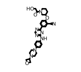 N#Cc1cc(-c2ncnc(Nc3ccc(N4CCN(C5COC5)CC4)cc3)n2)ccc1OC1CCCN(C(=O)CO)C1